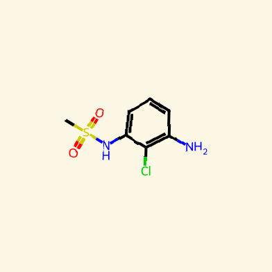 CS(=O)(=O)Nc1cccc(N)c1Cl